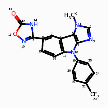 Cn1cnc2c1c1cc(-c3noc(=O)[nH]3)ccc1n2-c1ccc(C(F)(F)F)cc1